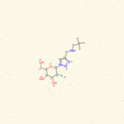 CC(C)(C)CNCc1cn(C2OC(CO)C(O)C(O)C2F)nn1